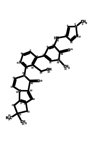 Cn1cc(Nc2cc(-c3ccnc(-n4ccn5c6c(cc5c4=O)CC(C)(C)C6)c3CO)cn(C)c2=O)cn1